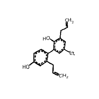 C=CCc1cc(O)ccc1-c1cc(CC)cc(CC=C)c1O